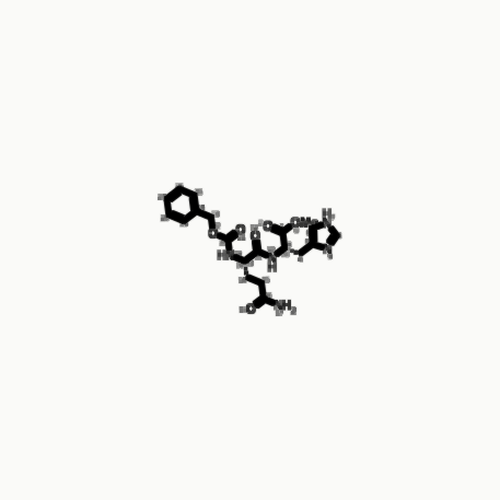 COC(=O)[C@H](Cc1c[nH]cn1)NC(=O)[C@H](CCC(N)=O)NC(=O)OCc1ccccc1